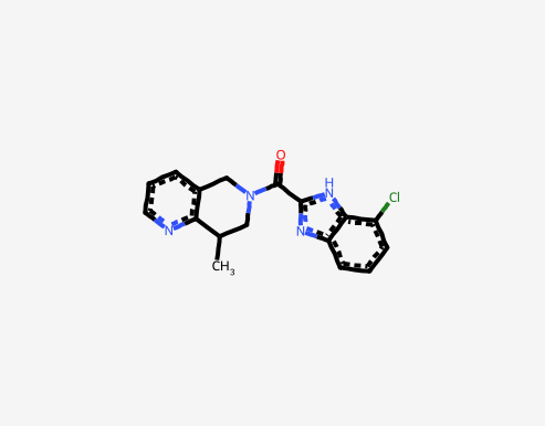 CC1CN(C(=O)c2nc3cccc(Cl)c3[nH]2)Cc2cccnc21